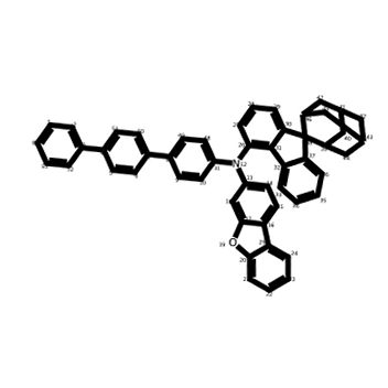 c1ccc(-c2ccc(-c3ccc(N(c4ccc5c(c4)oc4ccccc45)c4cccc5c4-c4ccccc4C54C5CC6CC(C5)CC4C6)cc3)cc2)cc1